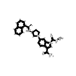 C[C@@H](N[C@H]1CCN(c2ccc3c(C(=O)C(F)(F)F)cn(C(=O)OC(C)(C)C)c3c2)C1)c1cccc2ccccc12